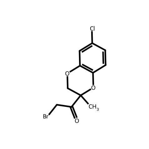 CC1(C(=O)CBr)COc2cc(Cl)ccc2O1